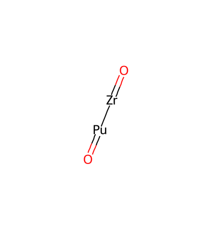 [O]=[Zr][Pu]=[O]